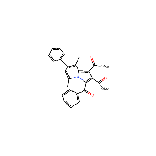 COC(=O)c1c(C(=O)OC)c2c(C)c(-c3ccccc3)cc(C)n2c1C(=O)c1ccccc1